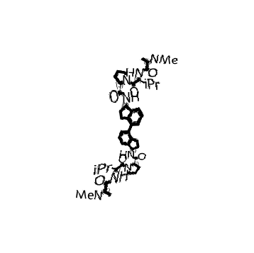 CN[C@@H](C)C(=O)N[C@H](C(=O)N1CCC[C@H]1C(=O)N[C@@H]1CCc2c(-c3cccc4c3CC[C@H]4NC(=O)[C@@H]3CCCN3C(=O)[C@@H](NC(=O)[C@H](C)NC)C(C)C)cccc21)C(C)C